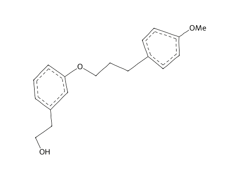 COc1ccc(CCCOc2cccc(CCO)c2)cc1